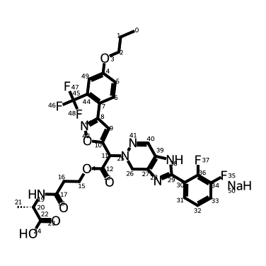 CCCOc1ccc(-c2cc(C(C(=O)OCCC(=O)N[C@@H](C)C(=O)O)N3Cc4nc(-c5cccc(F)c5F)[nH]c4C=N3)on2)c(C(F)(F)F)c1.[NaH]